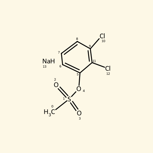 CS(=O)(=O)Oc1cccc(Cl)c1Cl.[NaH]